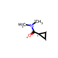 [CH2]N(C)C(=O)C1CC1